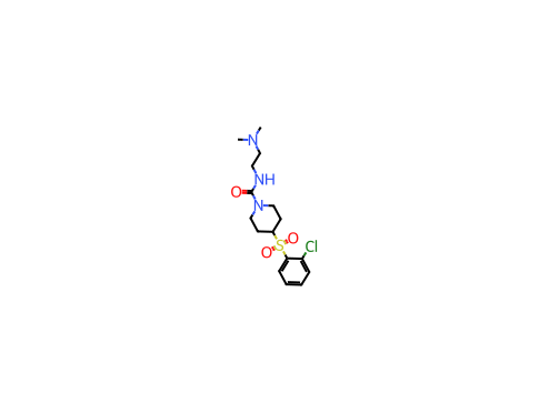 CN(C)CCNC(=O)N1CCC(S(=O)(=O)c2ccccc2Cl)CC1